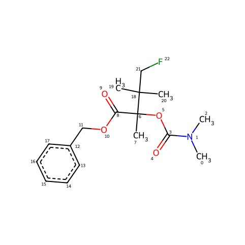 CN(C)C(=O)OC(C)(C(=O)OCc1ccccc1)C(C)(C)CF